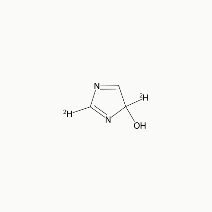 [2H]C1=NC([2H])(O)C=N1